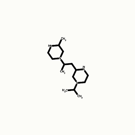 CC1CN(C(C)CC2CN(C(C)C)CCN2)CCN1